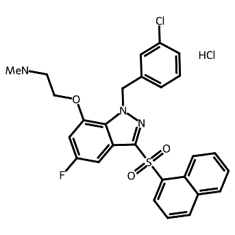 CNCCOc1cc(F)cc2c(S(=O)(=O)c3cccc4ccccc34)nn(Cc3cccc(Cl)c3)c12.Cl